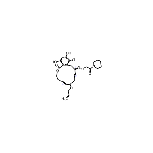 C=CCOC1/C=C/CCOC(=O)c2c(O)cc(O)c(Cl)c2CC(=N/OCC(=O)N2CCCCC2)/C=C/C1